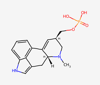 CN1C[C@H](COP(=O)(O)O)C=C2c3cccc4[nH]cc(c34)C[C@H]21